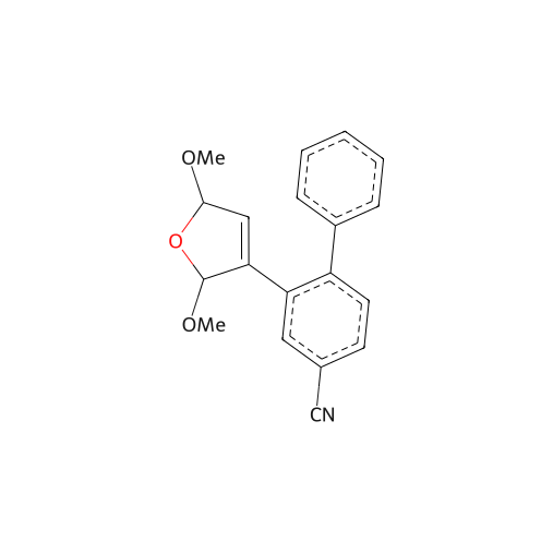 COC1C=C(c2cc(C#N)ccc2-c2ccccc2)C(OC)O1